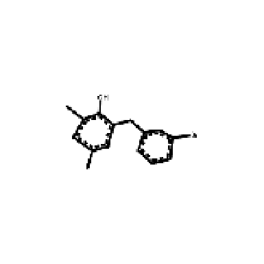 Cc1cc(C)c(O)c(Cc2cccc(Br)c2)c1